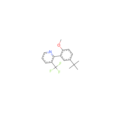 COc1ccc(C(C)(C)C)cc1-c1ncccc1C(F)(F)F